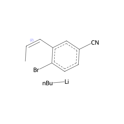 C/C=C\c1cc(C#N)ccc1Br.[Li][CH2]CCC